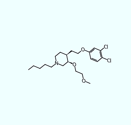 CCCCCN1CC[C@@H](CCOc2ccc(Cl)c(Cl)c2)[C@@H](OCCOC)C1